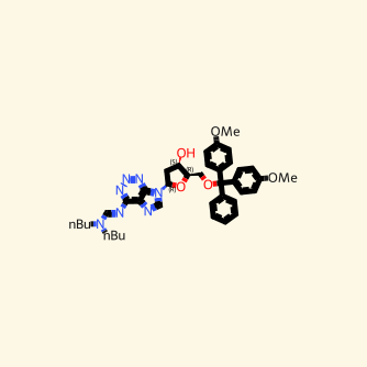 CCCCN(C=Nc1nnnc2c1ncn2[C@H]1C[C@H](O)[C@@H](COC(c2ccccc2)(c2ccc(OC)cc2)c2ccc(OC)cc2)O1)CCCC